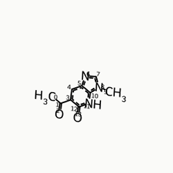 CC(=O)c1cc2ncn(C)c2[nH]c1=O